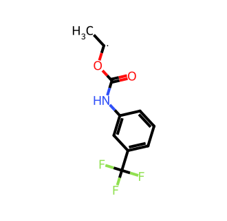 C[CH]OC(=O)Nc1cccc(C(F)(F)F)c1